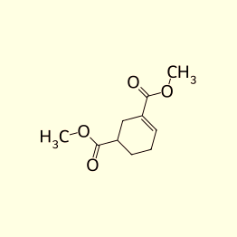 COC(=O)C1=CCCC(C(=O)OC)C1